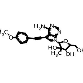 COc1ccc(C#Cc2cn(C3OC(CO)[C@@H](O)C3(C)O)c3ncnc(N)c23)cc1